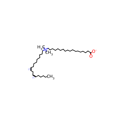 CCCCC/C=C\C/C=C\CCCCCCCC[N+](C)(C)CCCCCCCCCCCCCCCCCC(=O)[O-]